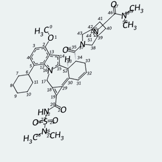 COc1ccc(C2CCCCC2)c2c1cc1n2CC2=C(C(=O)NS(=O)(=O)N(C)C)C2=C2C=CC[C@@H](C(=O)N3CC45CCC4(C3)CN(C(=O)N(C)C)C5)[C@@H]21